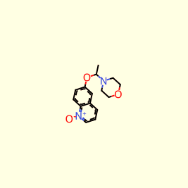 CC(Oc1ccc2c(ccc[n+]2[O-])c1)N1CCOCC1